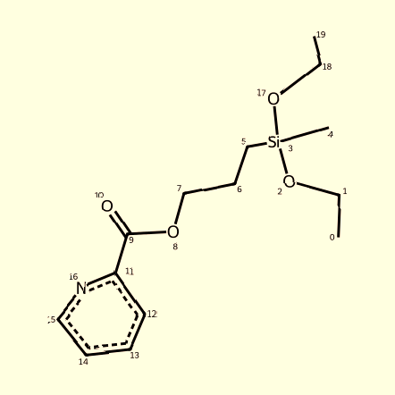 CCO[Si](C)(CCCOC(=O)c1ccccn1)OCC